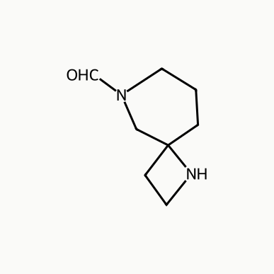 O=CN1CCCC2(CCN2)C1